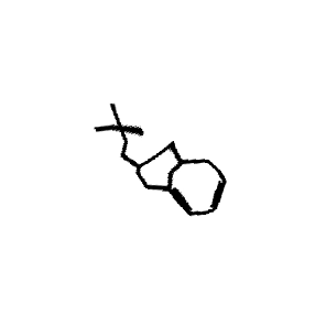 CC(C)(C)CC1CC2=CC=CCC2C1